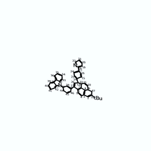 CC(C)(C)C1=Cc2ccc3c4c2C(C=CC4C(c2ccc(-c4ccccn4)cc2)C=C3C2=CC(n3c4ccccc4c4ccccc43)CC=C2)C1